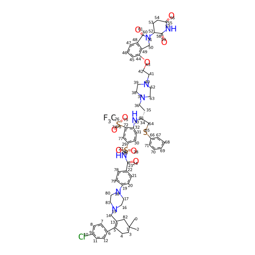 CC1(C)CCC(c2ccc(Cl)cc2)=C(CN2CCN(c3ccc(C(=O)NS(=O)(=O)c4ccc(N[C@H](CCN5CCN(CCOc6cccc7c6CN(C6CCC(=O)NC6=O)C7=O)CC5)CSc5ccccc5)c(S(=O)(=O)C(F)(F)F)c4)cc3)CC2)C1